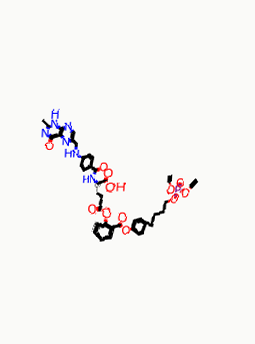 C#COP(=O)(OC#C)OCCCCc1ccc(OC(=O)c2ccccc2OC(=O)CC[C@H](NC(=O)c2ccc(NCc3cnc4[nH]c(C)nc(=O)c4n3)cc2)C(=O)O)cc1